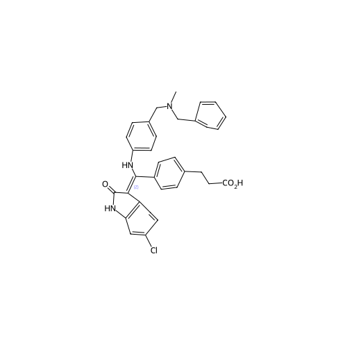 CN(Cc1ccccc1)Cc1ccc(N/C(=C2\C(=O)Nc3cc(Cl)ccc32)c2ccc(CCC(=O)O)cc2)cc1